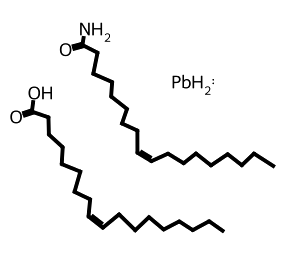 CCCCCCCC/C=C\CCCCCCCC(=O)O.CCCCCCCC/C=C\CCCCCCCC(N)=O.[PbH2]